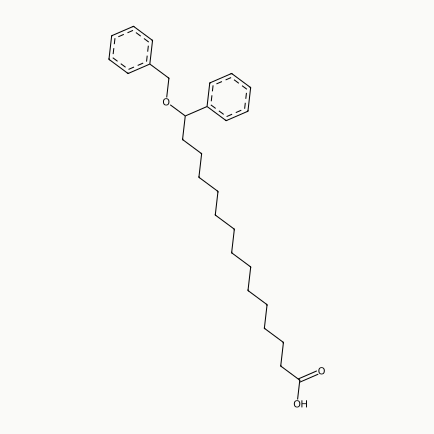 O=C(O)CCCCCCCCCCCCCC(OCc1ccccc1)c1ccccc1